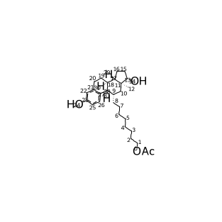 CC(=O)OCCCCCCCC[C@H]1C[C@]2(C)[C@@H](O)CC[C@H]2[C@@H]2CCc3cc(O)ccc3[C@@H]12